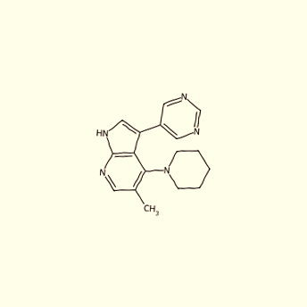 Cc1cnc2[nH]cc(-c3cncnc3)c2c1N1CCCCC1